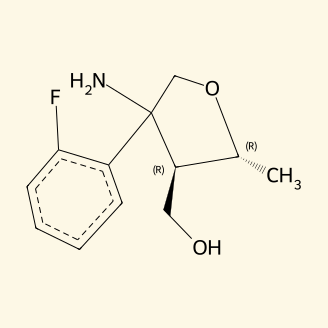 C[C@H]1OCC(N)(c2ccccc2F)[C@@H]1CO